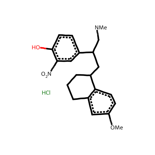 CNCC(CC1CCCc2cc(OC)ccc21)c1ccc(O)c([N+](=O)[O-])c1.Cl